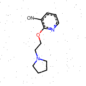 O=Nc1cccnc1OCCN1CCCC1